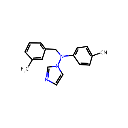 N#Cc1ccc(N(Cc2cccc(C(F)(F)F)c2)n2ccnc2)cc1